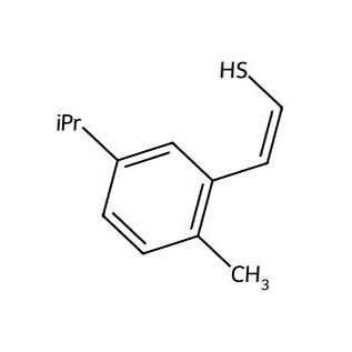 Cc1ccc(C(C)C)cc1/C=C\S